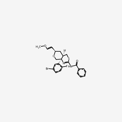 CO/C=C/[C@H]1C[C@H]2CSC(NC(=O)c3ccccc3)=N[C@@]2(c2cc(Br)ccc2F)CO1